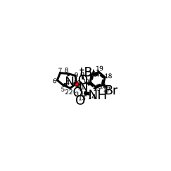 CC(C)(C)OC(=O)N1C2CCC1CC(n1c(=O)[nH]c3c(Br)cccc31)C2